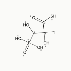 CC(O)(C(=O)S)C(O)P(=O)(O)O